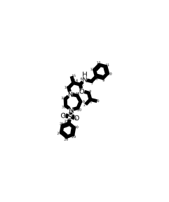 CC(C)COC(NCc1ccccc1)C(C)CN1CCCN(S(=O)(=O)c2ccccc2)CC1